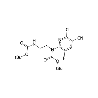 CC(C)(C)OC(=O)NCCN(C(=O)OC(C)(C)C)c1nc(Cl)c(C#N)cc1F